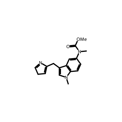 COC(=O)N(C)c1ccc2c(c1)c(CC1=CCC=N1)cn2C